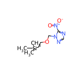 C[Si](C)(C)CCOCn1ncnc1[N+](=O)[O-]